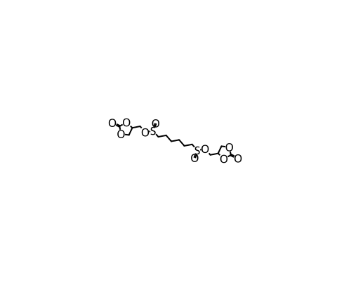 O=C1OCC(COS(=O)CCCCCCS(=O)OCC2COC(=O)O2)O1